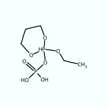 CCO[PH]1(OP(=O)(O)O)OCCCO1